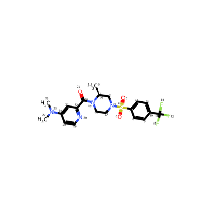 C[C@H]1CN(S(=O)(=O)c2ccc(C(F)(F)F)cc2)CCN1C(=O)c1cc(N(C)C)ccn1